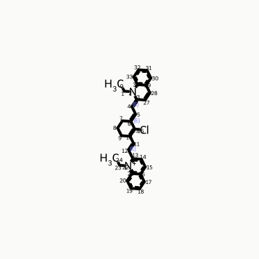 CCN1/C(=C/C=C2\CCCC(/C=C/c3ccc4ccccc4[n+]3CC)=C2Cl)C=Cc2ccccc21